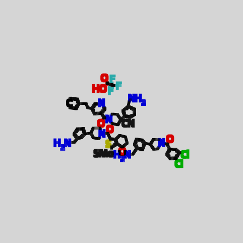 CSc1sc(C(=O)N2CCC(c3cccc(CN)c3)CC2)c2c1C(=O)CCC2.N#CC1(c2cccc(CN)c2)CCN(C(=O)c2cncc(CCc3ccccc3)c2)CC1.NCc1cccc(C2CCN(C(=O)c3ccc(Cl)c(Cl)c3)CC2)c1.O=C(O)C(F)(F)F